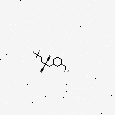 N#CC(C#N)(CCC(F)(F)F)C[C@H]1CCC[C@@H](CO)C1